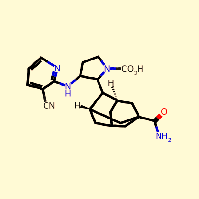 N#Cc1cccnc1NC1CCN(C(=O)O)C1C1[C@@H]2CC3C[C@H]1CC(C(N)=O)(C3)C2